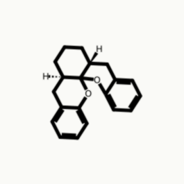 c1ccc2c(c1)C[C@H]1CCC[C@@H]3Cc4ccccc4OC13O2